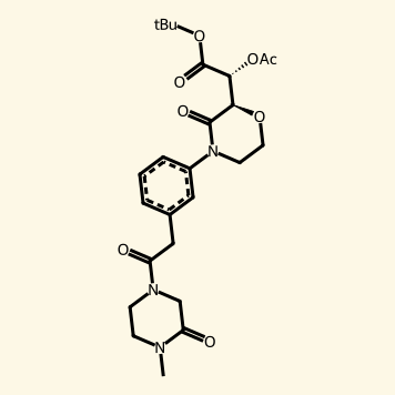 CC(=O)O[C@@H](C(=O)OC(C)(C)C)[C@H]1OCCN(c2cccc(CC(=O)N3CCN(C)C(=O)C3)c2)C1=O